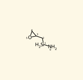 N[SiH2]CC1CO1